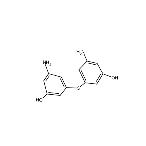 Nc1cc(O)cc(Sc2cc(N)cc(O)c2)c1